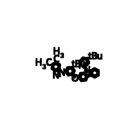 Cc1cc2ncn(-c3cc(Oc4ccc5c6ccccc6n(-c6cc(C(C)(C)C)ccn6)c5c4)cc(C(C)(C)C)c3)c2cc1C